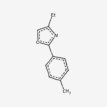 CCc1coc(-c2ccc(C)cc2)n1